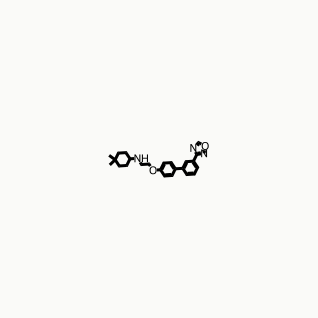 CC1(C)CCC(NCCOc2ccc(-c3cccc(-c4ncon4)c3)cc2)CC1